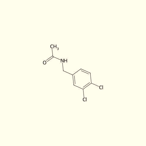 CC(=O)NCc1ccc(Cl)c(Cl)c1